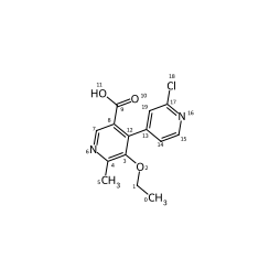 CCOc1c(C)ncc(C(=O)O)c1-c1ccnc(Cl)c1